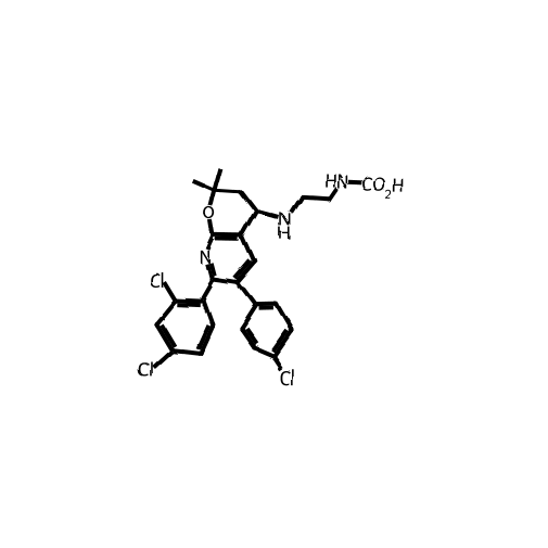 CC1(C)CC(NCCNC(=O)O)c2cc(-c3ccc(Cl)cc3)c(-c3ccc(Cl)cc3Cl)nc2O1